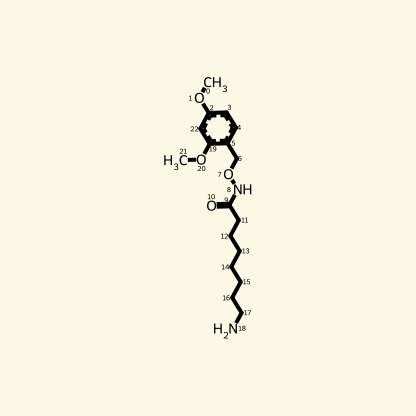 COc1ccc(CONC(=O)CCCCCCCN)c(OC)c1